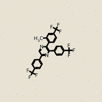 Cc1cc(C(F)(F)F)ccc1-c1ncc(-c2ccc(C(F)(F)F)cc2)nc1-c1ccc(C(F)(F)F)cc1